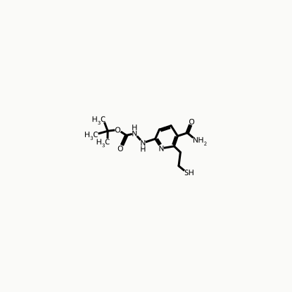 CC(C)(C)OC(=O)NNc1ccc(C(N)=O)c(CCS)n1